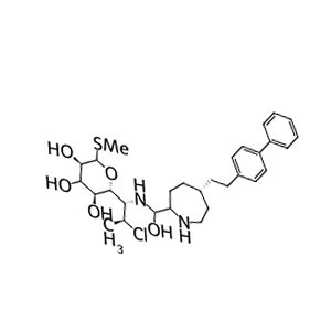 CSC1O[C@H]([C@H](NC(O)C2CC[C@H](CCc3ccc(-c4ccccc4)cc3)CCN2)[C@H](C)Cl)[C@@H](O)C(O)[C@H]1O